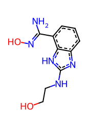 NC(=NO)c1cccc2nc(NCCO)[nH]c12